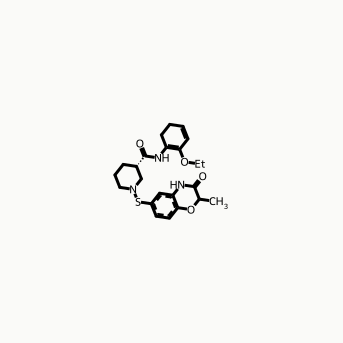 CCOC1=C(NC(=O)[C@H]2CCCN(Sc3ccc4c(c3)NC(=O)C(C)O4)C2)CCC=C1